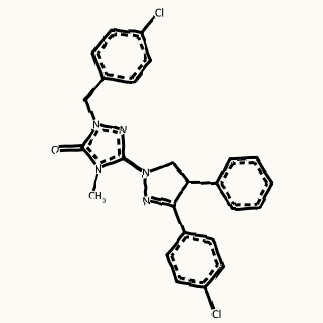 Cn1c(N2CC(c3ccccc3)C(c3ccc(Cl)cc3)=N2)nn(Cc2ccc(Cl)cc2)c1=O